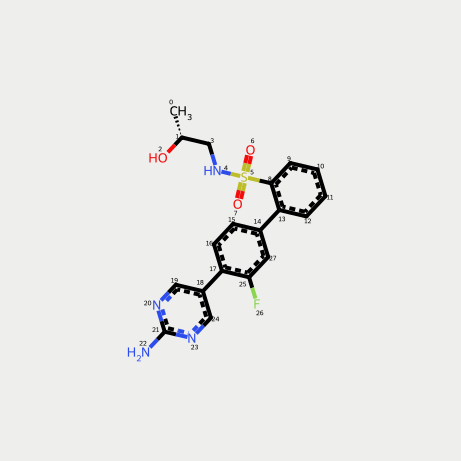 C[C@@H](O)CNS(=O)(=O)c1ccccc1-c1ccc(-c2cnc(N)nc2)c(F)c1